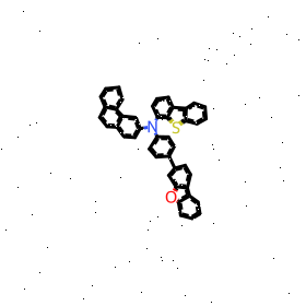 c1ccc2c(c1)ccc1ccc(N(c3ccc(-c4ccc5c(c4)oc4ccccc45)cc3)c3cccc4c3sc3ccccc34)cc12